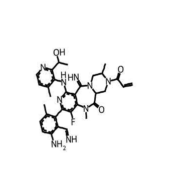 C=CC(=O)N1CC2C(=O)N(C)c3c(F)c(-c4c(C)ccc(N)c4C=N)nc(Nc4c(C)ccnc4C(C)O)c3C(=N)N2CC1C